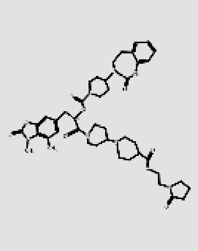 Cc1cc(C[C@@H](OC(=O)N2CCC(N3CCc4ccccc4NC3=O)CC2)C(=O)N2CCC(N3CCC(C(=O)OCCN4CCCC4=O)CC3)CC2)cc2oc(=O)n(C)c12